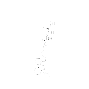 CC[C@H]1CC23C4CCC(CCCOC(=O)NSNC(=O)CO)C4(C)CC[C@@H]2C32CCCCC12N